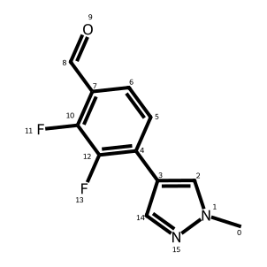 Cn1cc(-c2ccc(C=O)c(F)c2F)cn1